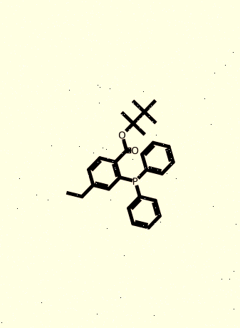 CCc1ccc(C(=O)OC(C)(C)C(C)(C)C)c(P(c2ccccc2)c2ccccc2)c1